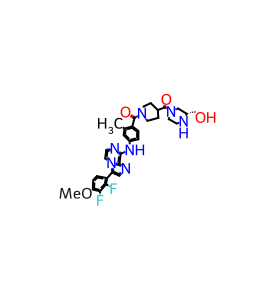 COc1ccc(-c2cnc3c(Nc4ccc(C(=O)N5CCC(C(=O)N6CCN[C@@H](CO)C6)CC5)c(C)c4)nccn23)c(F)c1F